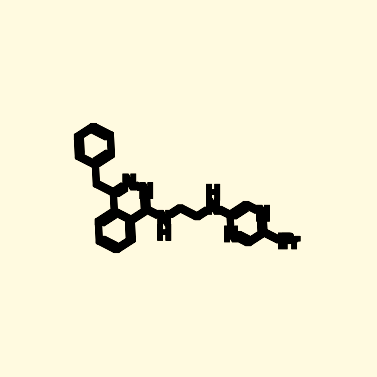 CC(C)c1cnc(NCCNc2nnc(Cc3ccccc3)c3ccccc23)cn1